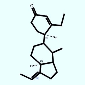 C/C=C1/CCC2C(C)C([C@@]3(C)CCC(=O)C=C3CC)CC[C@]12C